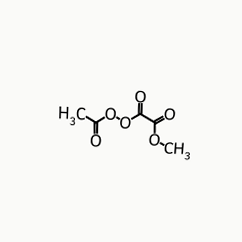 COC(=O)C(=O)OOC(C)=O